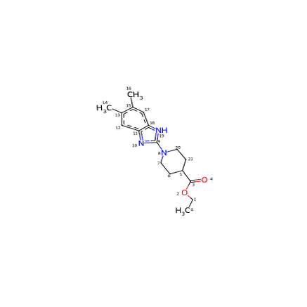 CCOC(=O)C1CCN(c2nc3cc(C)c(C)cc3[nH]2)CC1